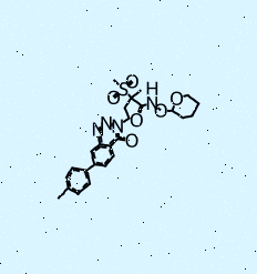 Cc1ccc(-c2ccc3c(=O)n(CCC(C)(C(=O)NOC4CCCCO4)S(C)(=O)=O)nnc3c2)cc1